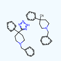 N#CC1(c2ccccc2)CCN(Cc2ccccc2)CC1.c1ccc(CN2CCC(c3ccccc3)(c3nn[nH]n3)CC2)cc1